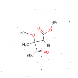 [CH2]CC(C(=O)OCCC)C(C)(OCCC)C(=O)CCCC